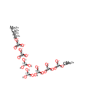 O=[Si]([O-])[O-].O=[Si]([O-])[O-].O=[Si]([O-])[O-].O=[Si]([O-])[O-].O=[Si]([O-])[O-].O=[Si]([O-])[O-].O=[Si]([O-])[O-].[Al+3].[Al+3].[Ca+2].[Ca+2].[Mn+2].[Mn+2]